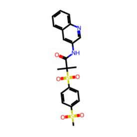 CC(C)(C(=O)Nc1cnc2ccccc2c1)S(=O)(=O)c1ccc(S(C)(=O)=O)cc1